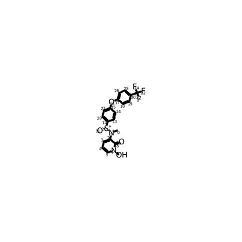 CN(c1cccn(O)c1=O)[S+]([O-])c1ccc(Oc2ccc(C(F)(F)F)cc2)cc1